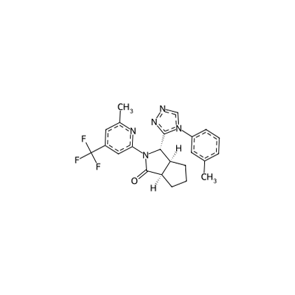 Cc1cccc(-n2cnnc2[C@@H]2[C@H]3CCC[C@H]3C(=O)N2c2cc(C(F)(F)F)cc(C)n2)c1